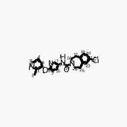 Cc1ncccc1Oc1ccc(NC(=O)N2CCc3ccc(Cl)cc3CC2)cn1